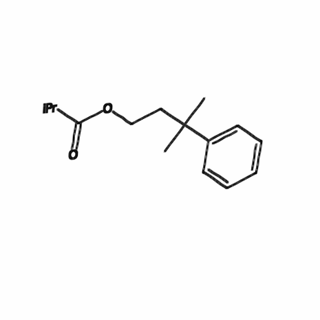 CC(C)C(=O)OCCC(C)(C)c1ccccc1